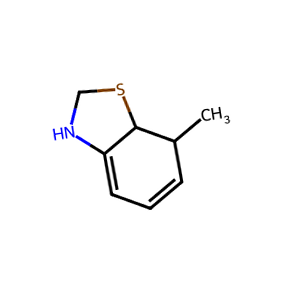 CC1C=CC=C2NCSC21